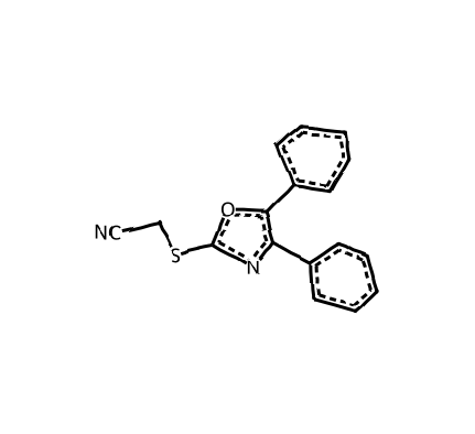 N#CCSc1nc(-c2ccccc2)c(-c2ccccc2)o1